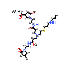 C=CCNCCCSCCN(CCC(=O)NCCN1CC(C)CC1=O)CCC(=O)NCCN1CC(C(=O)OC)CC1=O